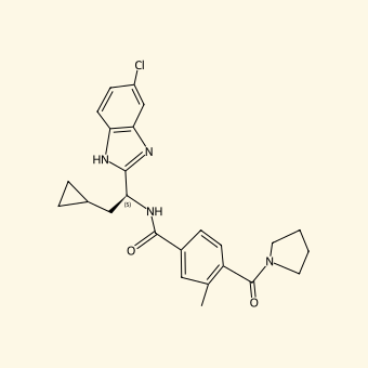 Cc1cc(C(=O)N[C@@H](CC2CC2)c2nc3cc(Cl)ccc3[nH]2)ccc1C(=O)N1CCCC1